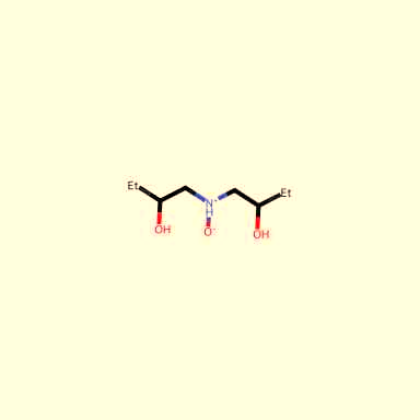 CCC(O)C[NH+]([O-])CC(O)CC